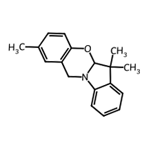 Cc1ccc2c(c1)CN1c3ccccc3C(C)(C)C1O2